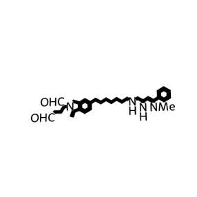 C=C1c2ccc(CCCCCCCNCC(=N)/C=C(\NC)c3ccccc3)cc2CN1C(C=O)CCC=O